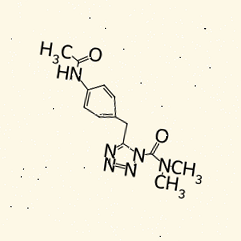 CC(=O)Nc1ccc(Cc2nnnn2C(=O)N(C)C)cc1